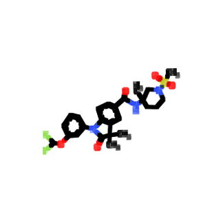 CC1(NC(=O)c2ccc3c(c2)C(C)(C)C(=O)N3c2cccc(OC(F)F)c2)CCCN(S(C)(=O)=O)C1